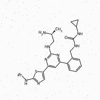 CC(C)Nc1ncc(-c2cc(-c3ccccc3CNC(=O)NC3CC3)nc(NC[C@H](C)N)n2)s1